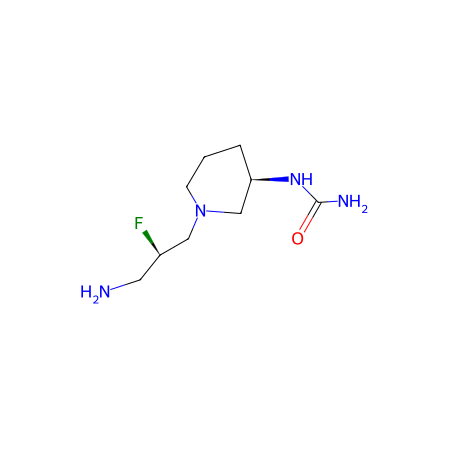 NC[C@@H](F)CN1CCC[C@@H](NC(N)=O)C1